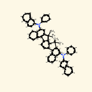 CC1(C)c2cc(N(c3ccccc3)c3ccc4ccccc4c3)c3ccccc3c2-c2ccc3c(c21)C(C)(C)c1cc(N(c2ccccc2)c2ccc4ccccc4c2)c2ccccc2c1-3